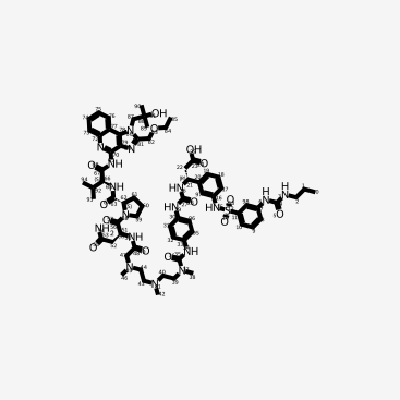 CCCNC(=O)Nc1cccc(S(=O)(=O)Nc2cccc([C@@H](CC(=O)O)NC(=O)Nc3ccc(NC(=O)N(C)CCN(C)CCN(C)CC(=O)N[C@@H](CC(N)=O)C(=O)N4CCC[C@H]4C(=O)N[C@H](C(=O)Nc4nc5ccccc5c5c4nc(COCC)n5CC(C)(C)O)C(C)C)cc3)c2)c1